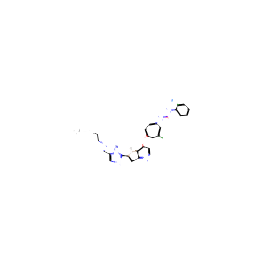 CSCCNCc1cnc(-c2cc3nccc(OC4=CC=C(NC(=O)Nc5ccccc5F)C=C(F)C4)c3s2)n1C